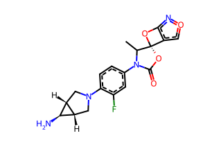 CC1N(c2ccc(N3C[C@@H]4[C@@H](N)[C@@H]4C3)c(F)c2)C(=O)O[C@@]12Oc1nocc12